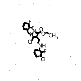 CCOC(=O)c1nn(Cc2cccc(F)c2F)c(Cl)c1CCNc1cccc(Cl)c1F